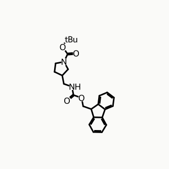 CC(C)(C)OC(=O)N1CCC(CNC(=O)OCC2c3ccccc3-c3ccccc32)C1